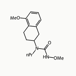 CCCN(C(=O)NOC)C1CCc2c(cccc2OC)C1